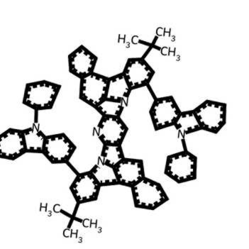 CC(C)(C)c1cc(-c2ccc3c(c2)c2ccccc2n3-c2ccccc2)c2c(c1)c1c3ccccc3cc3c4nc5c(cc4n2c31)c1cc2ccccc2c2c3cc(C(C)(C)C)cc(-c4ccc6c(c4)c4ccccc4n6-c4ccccc4)c3n5c12